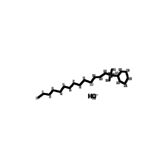 CCCCCCCCCCCCCC[N+](C)(C)C1CCCCC1.[OH-]